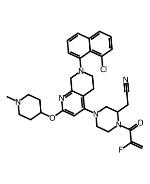 C=C(F)C(=O)N1CCN(c2cc(OC3CCN(C)CC3)nc3c2CCN(c2cccc4cccc(Cl)c24)C3)CC1CC#N